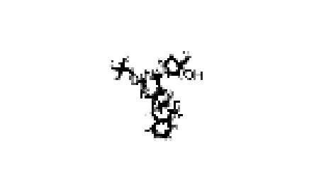 CC(C)(C)COc1nc(N2CCC(C)(O)C2)c2ncn(Cc3ccccc3C(F)(F)F)c2n1